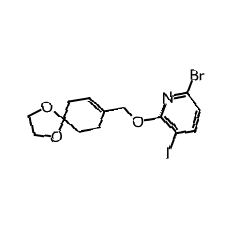 Brc1ccc(I)c(OCC2=CCC3(CC2)OCCO3)n1